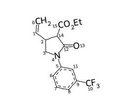 C=CC1CN(c2cccc(C(F)(F)F)c2)C(=O)C1C(=O)OCC